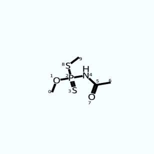 COP(=S)(NC(C)=O)SC